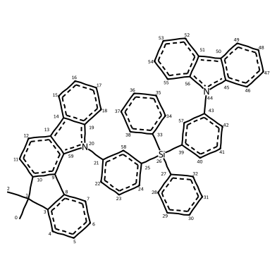 CC1(C)c2ccccc2-c2c1ccc1c3ccccc3n(-c3cccc([Si](c4ccccc4)(c4ccccc4)c4cccc(-n5c6ccccc6c6ccccc65)c4)c3)c21